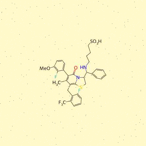 COc1cccc(-c2c(C)c(Cc3c(F)cccc3C(F)(F)F)c3n(c2=O)C(C(NCCCCS(=O)(=O)O)c2ccccc2)CS3)c1F